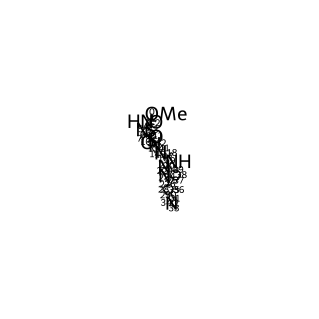 COC(=O)Nc1nc(C)c(S(=O)(=O)N2CCN(CC(C)Nc3ncnc4c(-c5cccc(CN(C)C)c5C)cccc34)CC2)s1